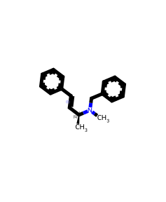 C[C@@H](/C=C/c1ccccc1)N(C)Cc1ccccc1